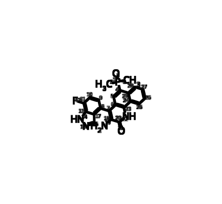 CP(C)(=O)c1cc2c(-c3ccc(F)c4[nH]ncc34)c(N)c(=O)[nH]c2c2ccccc12